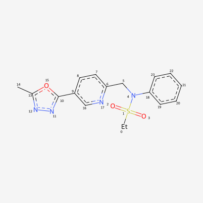 CCS(=O)(=O)N(Cc1ccc(-c2nnc(C)o2)cn1)c1ccccc1